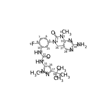 CN1C(=O)N(c2ccc(F)c(NC(=O)Nc3cc(C(C)(C)C)nn3C)c2)Cc2cnc(N)nc21